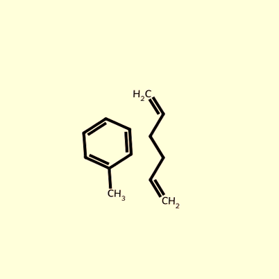 C=CCCC=C.Cc1ccccc1